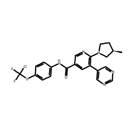 C[C@@H]1CCN(c2ncc(C(=O)Nc3ccc(OC(F)(F)Cl)cc3)cc2-c2cncnc2)C1